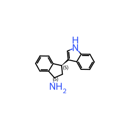 N[C@H]1C[C@H](c2c[nH]c3ccccc23)c2ccccc21